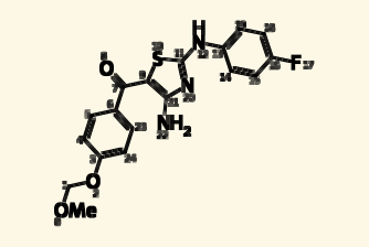 COCOc1ccc(C(=O)c2sc(Nc3ccc(F)cc3)nc2N)cc1